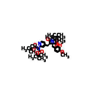 COc1ccc(C[C@@]2(C(=O)O)[C@@H](Cc3ccnc(N(C(=O)OC(C)(C)C)C(=O)OC(C)(C)C)c3)C(=O)N2[Si](C)(C)C(C)(C)C)cc1